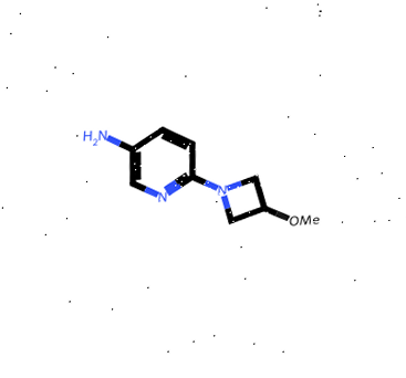 COC1CN(c2ccc(N)cn2)C1